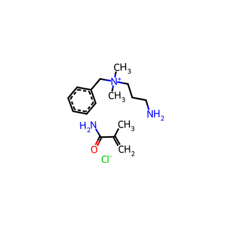 C=C(C)C(N)=O.C[N+](C)(CCCN)Cc1ccccc1.[Cl-]